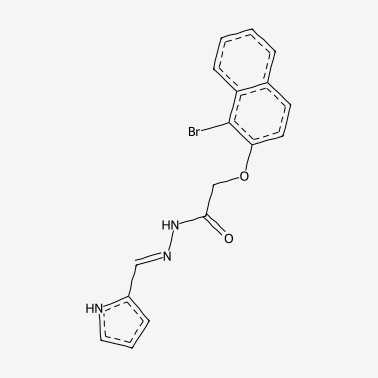 O=C(COc1ccc2ccccc2c1Br)N/N=C/c1ccc[nH]1